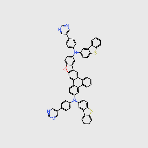 c1ccc2c(c1)sc1ccc(N(c3ccc(-c4cncnc4)cc3)c3ccc4oc5cc6c7ccc(N(c8ccc(-c9cncnc9)cc8)c8ccc9sc%10ccccc%10c9c8)cc7c7ccccc7c6cc5c4c3)cc12